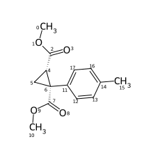 COC(=O)[C@H]1C[C@]1(C(=O)OC)c1ccc(C)cc1